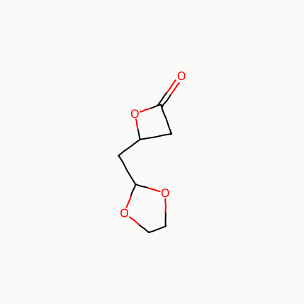 O=C1CC(CC2OCCO2)O1